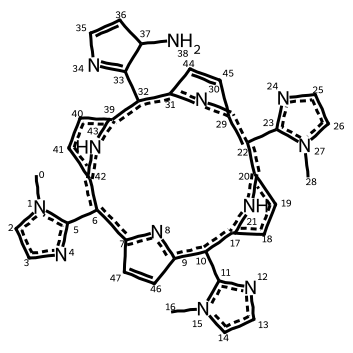 Cn1ccnc1-c1c2nc(c(-c3nccn3C)c3ccc([nH]3)c(-c3nccn3C)c3nc(c(C4=NC=CC4N)c4ccc1[nH]4)C=C3)C=C2